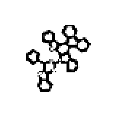 c1ccc(-c2nc(-n3c4ccccc4c4c5c6ccccc6c6ccccc6c5c5c6ccccc6oc5c43)nc3c2sc2ccccc23)cc1